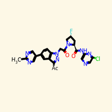 CC(=O)c1nn(CC(=O)N2C[C@H](F)C[C@H]2C(=O)Nc2cncc(Cl)n2)c2ccc(-c3cnc(C)nc3)cc12